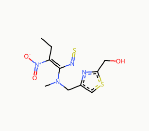 CCC(=C(N=S)N(C)Cc1csc(CO)n1)[N+](=O)[O-]